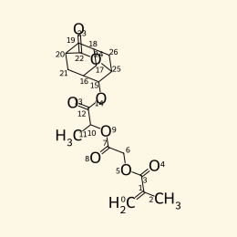 C=C(C)C(=O)OCC(=O)OC(C)C(=O)OC1C2CC3CC(C2)C(=O)OC1C3